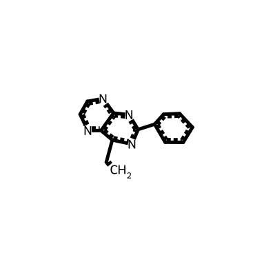 C=Cc1nc(-c2ccccc2)nc2nccnc12